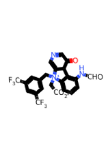 O=CNc1cccc2c1C1C(=O)C=NC=C1[N+]2(CC(=O)O)Cc1cc(C(F)(F)F)cc(C(F)(F)F)c1